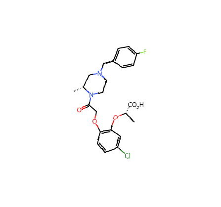 C[C@H](Oc1cc(Cl)ccc1OCC(=O)N1CCN(Cc2ccc(F)cc2)C[C@H]1C)C(=O)O